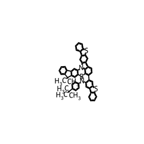 CC(C)(C)c1ccc(N2B3c4cc5c(cc4-n4c6cc7c(cc6c6ccc(c3c64)-c3cc4sc6ccccc6c4cc32)sc2ccccc27)-c2ccccc2C5(C)C)cc1